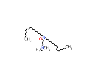 CCCCC/C=C\C/C=C\CCCCCCCCN(CCCCCCCC/C=C\C/C=C\CCCCC)C(=O)CCCCN(C)C